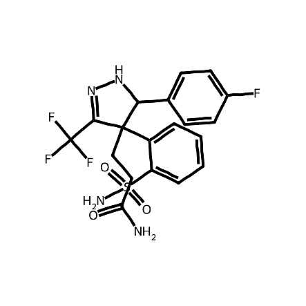 NC(=O)CCC1(c2ccccc2S(N)(=O)=O)C(C(F)(F)F)=NNC1c1ccc(F)cc1